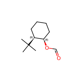 CC(C)(C)[C@H]1CCCC[C@H]1OC=O